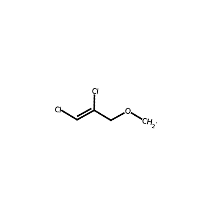 [CH2]OC/C(Cl)=C/Cl